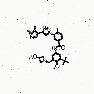 COc1c(CN2CC(O)C2)cc(NC(=O)c2ccc(C)c(-n3cc(-c4cnn(C)c4C)nn3)c2)cc1C(C)(C)C